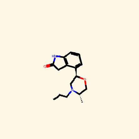 CCCN1C[C@@H](c2cccc3c2CC(=O)N3)OC[C@@H]1C